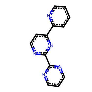 c1ccc(-c2ccnc(-c3ncccn3)n2)nc1